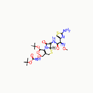 CO/N=C(\C(=O)N[C@@H]1C(=O)N2C(C(=O)OC(C)(C)C)=C(CONC(=O)OC(C)(C)C)CS[C@H]12)c1csc(N)n1